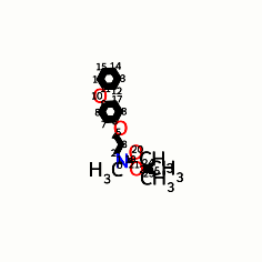 CN(CCCOc1ccc(Oc2ccccc2)cc1)C(=O)OC(C)(C)C